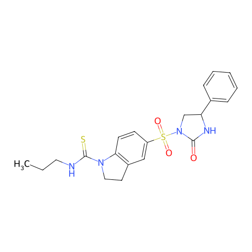 CCCNC(=S)N1CCc2cc(S(=O)(=O)N3CC(c4ccccc4)NC3=O)ccc21